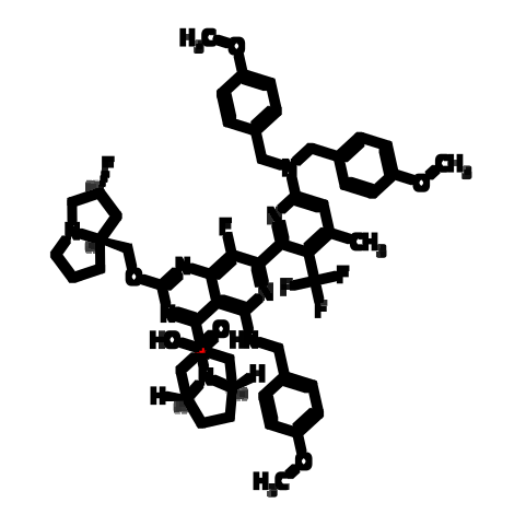 COc1ccc(CNc2nc(-c3nc(N(Cc4ccc(OC)cc4)Cc4ccc(OC)cc4)cc(C)c3C(F)(F)F)c(F)c3nc(OC[C@@]45CCCN4C[C@H](F)C5)nc(N4C[C@H]5CC[C@@H](C4)N5C(=O)O)c23)cc1